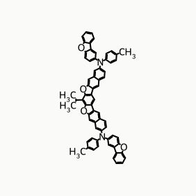 Cc1ccc(N(c2ccc3cc4c(cc3c2)oc2c(C(C)C)c3oc5cc6cc(N(c7ccc(C)cc7)c7ccc8oc9ccccc9c8c7)ccc6cc5c3cc24)c2ccc3oc4ccccc4c3c2)cc1